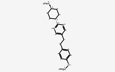 CCCCCCCOc1ccc(CCc2cnc([C@H]3CC[C@H](CCCCC)CC3)nc2)cc1